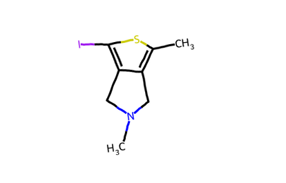 Cc1sc(I)c2c1CN(C)C2